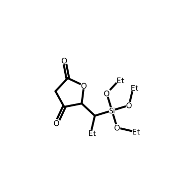 CCO[Si](OCC)(OCC)C(CC)C1OC(=O)CC1=O